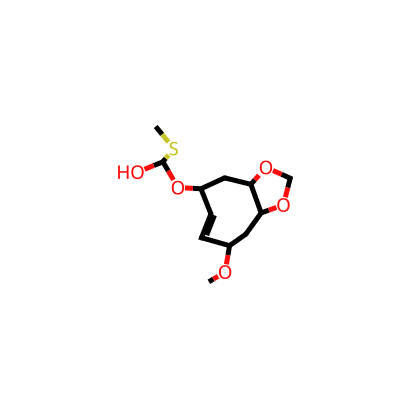 COC1/C=C/C(OC(O)SC)CC2OCOC2C1